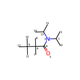 CC(C)N(C(=O)C(C)(C)C(C)(C)C)C(C)C